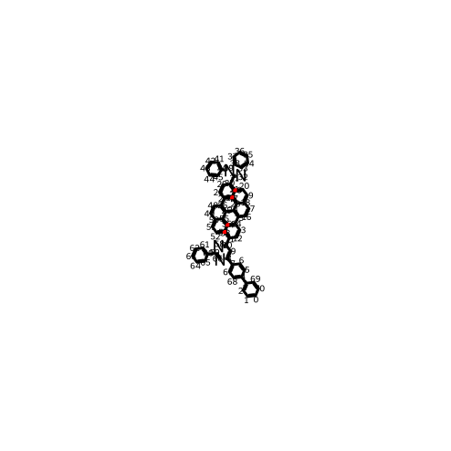 c1ccc(-c2ccc(-c3cc(-c4ccc(-c5ccc6ccccc6c5-c5c(-c6ccc(-c7nc8ccccc8n7-c7ccccc7)cc6)ccc6ccccc56)cc4)nc(-c4ccccc4)n3)cc2)cc1